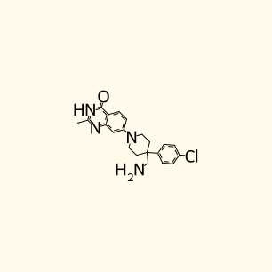 Cc1nc2cc(N3CCC(CN)(c4ccc(Cl)cc4)CC3)ccc2c(=O)[nH]1